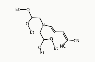 CCOC(CN(C=CC=C(C#N)C#N)CC(OCC)OCC)OCC